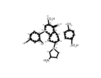 Cc1ccc(S(=O)(=O)O)cc1.NC1CCN(c2ccc3c(=O)c(C(=O)O)cn(-c4ccc(F)cc4F)c3n2)C1